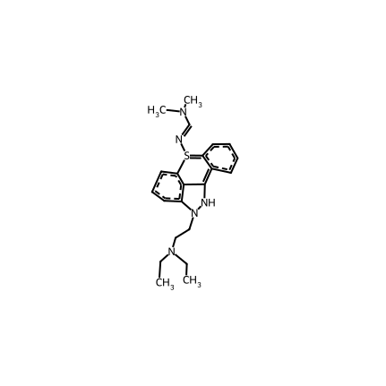 CCN(CC)CCN1NC2=c3ccccc3=S(N=CN(C)C)c3cccc1c32